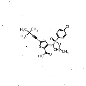 CCOP(=O)(c1ccc(Cl)cc1)N(C)c1cc(C#CC(C)(C)C)sc1C(=O)O